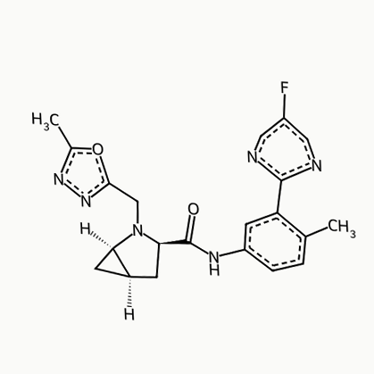 Cc1nnc(CN2[C@@H](C(=O)Nc3ccc(C)c(-c4ncc(F)cn4)c3)C[C@H]3C[C@H]32)o1